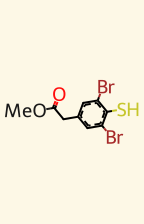 COC(=O)Cc1cc(Br)c(S)c(Br)c1